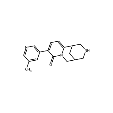 Cc1cncc(-c2ccc3n(c2=O)CC2CNCC3C2)c1